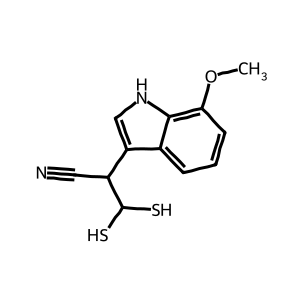 COc1cccc2c(C(C#N)C(S)S)c[nH]c12